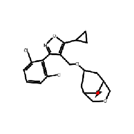 Clc1cccc(Cl)c1-c1noc(C2CC2)c1COC1CC2COCC(C1)C21OCCO1